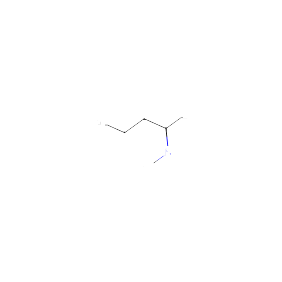 CCC(CCC(C)(C)C)NC(C)(C)C